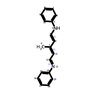 CC(/C=C/Nc1ccccc1)=C\C=N\c1ccccc1